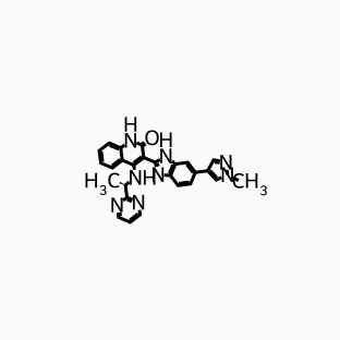 C[C@H](Nc1c(-c2nc3ccc(-c4cnn(C)c4)cc3[nH]2)c(=O)[nH]c2ccccc12)c1ncccn1